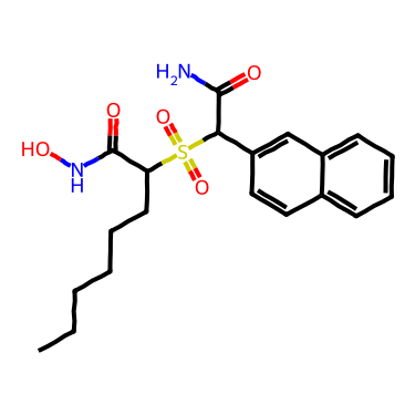 CCCCCCC(C(=O)NO)S(=O)(=O)C(C(N)=O)c1ccc2ccccc2c1